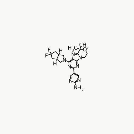 CC1(C)OCCn2c1nc1c(N3C[C@@H]4CC(F)(F)C[C@@H]4C3)nc(-c3cnc(N)nc3)nc12